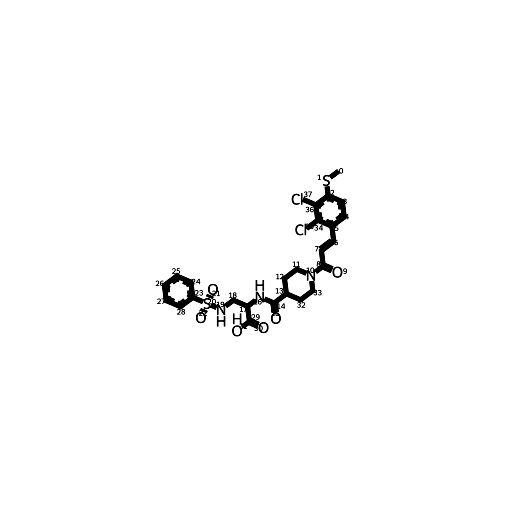 CSc1ccc(C=CC(=O)N2CCC(C(=O)NC(CNS(=O)(=O)c3ccccc3)C(=O)O)CC2)c(Cl)c1Cl